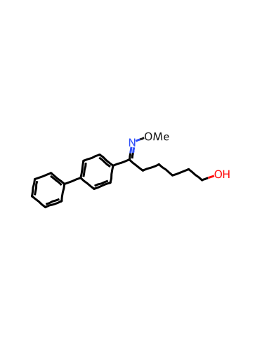 CON=C(CCCCCO)c1ccc(-c2ccccc2)cc1